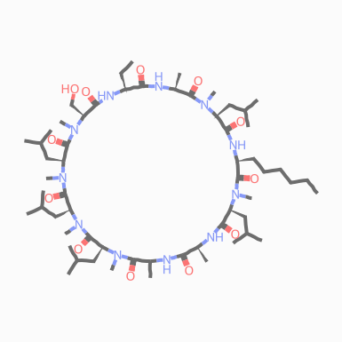 CCCCCC[C@@H]1NC(=O)[C@H](CC(C)C)N(C)C(=O)[C@H](C)NC(=O)[C@H](CC)NC(=O)[C@H](CO)N(C)C(=O)[C@H](CC(C)C)N(C)C(=O)[C@H](CC(C)C)N(C)C(=O)[C@H](CC(C)C)N(C)C(=O)C(C)NC(=O)[C@H](C)NC(=O)[C@H](CC(C)C)N(C)C1=O